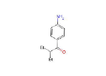 CCC(CC)C(=O)c1ccc(N)cc1